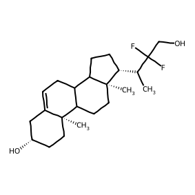 CC([C@H]1CCC2C3CC=C4C[C@@H](O)CC[C@]4(C)C3CC[C@@]21C)C(F)(F)CO